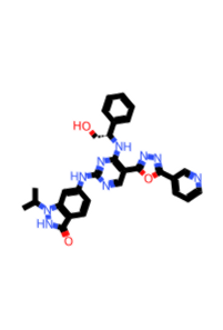 CC(C)n1[nH]c(=O)c2ccc(Nc3ncc(-c4nnc(-c5cccnc5)o4)c(N[C@H](CO)c4ccccc4)n3)cc21